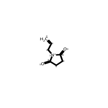 C=CC[N+]1C(=O)CCC1=O